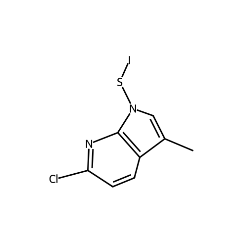 Cc1cn(SI)c2nc(Cl)ccc12